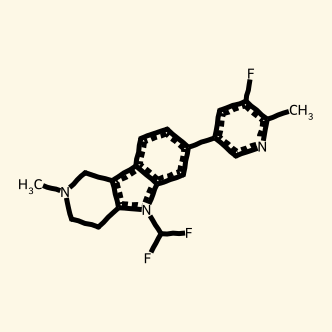 Cc1ncc(-c2ccc3c4c(n(C(F)F)c3c2)CCN(C)C4)cc1F